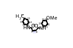 COc1ccc(NC(=O)/C=C\C(=O)Nc2ccc(C)cc2)cc1